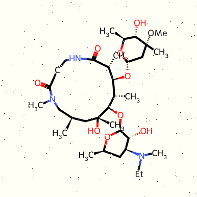 CCN(C)[C@H]1C[C@@H](C)O[C@@H](O[C@@H]2[C@@H](C)[C@H](O[C@H]3C[C@@](C)(OC)[C@@H](O)[C@H](C)O3)[C@@H](C)C(=O)NCCC(=O)N(C)C[C@H](C)C[C@@]2(C)O)[C@@H]1O